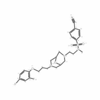 CN(CCN1CC2CN(CCCOc3ccc(F)cc3F)CC(C1)O2)S(=O)(=O)c1ccc(C#N)cc1